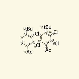 CC(=O)c1ccc(C(C)(C)C)c(Cl)c1Cl.CC(=O)c1ccc(C(C)(C)C)c(Cl)c1Cl